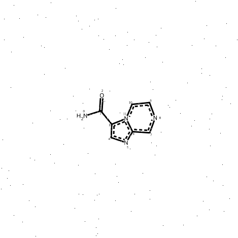 NC(=O)c1cnc2cnccn12